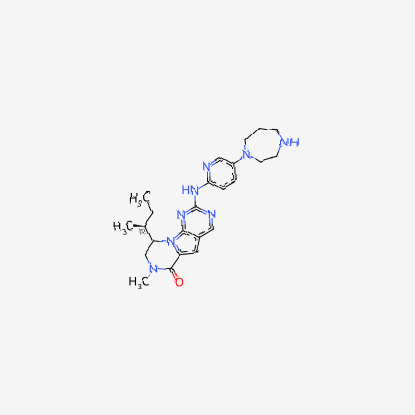 CC[C@H](C)C1CN(C)C(=O)c2cc3cnc(Nc4ccc(N5CCCNCC5)cn4)nc3n21